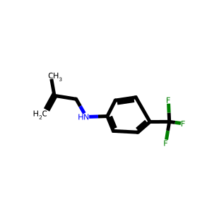 C=C(C)CNc1ccc(C(F)(F)F)cc1